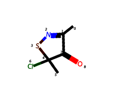 CC1=NSC(C)(Cl)C1=O